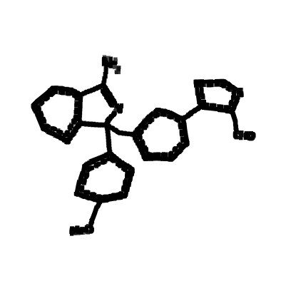 COc1ccc(C2(c3cccc(-c4ccsc4C=O)c3)N=C(N)c3ccccc32)cc1